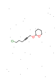 ClCCCC#CCOC1CCCCO1